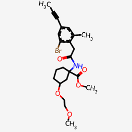 CC#Cc1cc(C)c(CC(=O)NC2(C(=O)OC)CCCC(OCCOC)C2)c(Br)c1